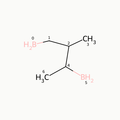 BCC(C)C(B)C